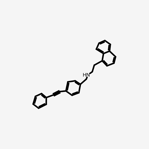 C(#Cc1ccc(CNCCc2cccc3ccccc23)cc1)c1ccccc1